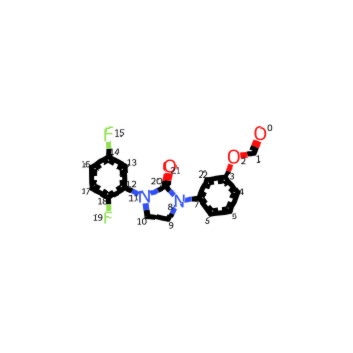 O=COc1cccc(N2CCN(c3cc(F)ccc3F)C2=O)c1